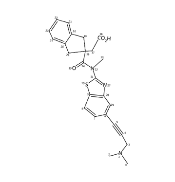 CN(C)CC#Cc1ccc2sc(N(C)C(=O)C3(CC(=O)O)Cc4ccccc4C3)nc2c1